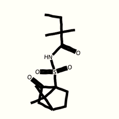 CCC(C)(C)C(=O)NS(=O)(=O)C12CCC(CC1=O)C2(C)C